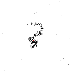 CCC(C)(CCC(F)(F)F)OC(F)(CC(CC)(CC)OC(C(=O)NCCC(C)(C)OCC(C)(C)NC(=O)CCOC(C)(C)CCOC(C)(C)CCN)C(F)(F)F)C(F)(F)F